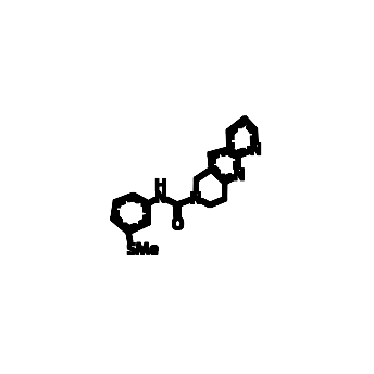 CSc1cccc(NC(=O)N2CCc3nc4ncccc4cc3C2)c1